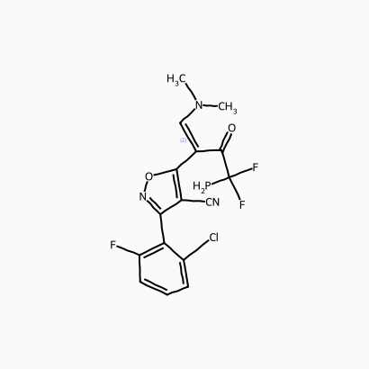 CN(C)/C=C(\C(=O)C(F)(F)P)c1onc(-c2c(F)cccc2Cl)c1C#N